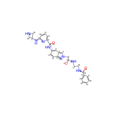 O=C(Cn1cc2cc(NC(=O)c3cccc(NC4CNC4)n3)ccc2n1)NCCNC(=O)c1ccccc1